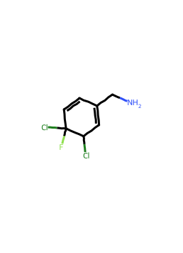 NCC1=CC(Cl)C(F)(Cl)C=C1